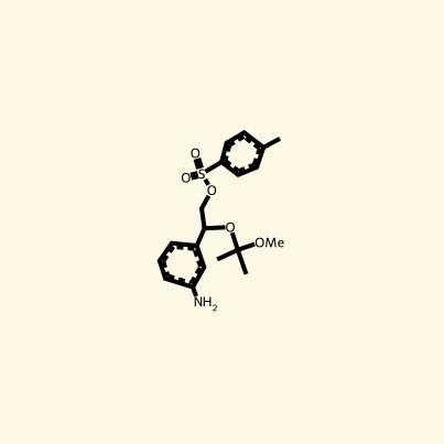 COC(C)(C)OC(COS(=O)(=O)c1ccc(C)cc1)c1cccc(N)c1